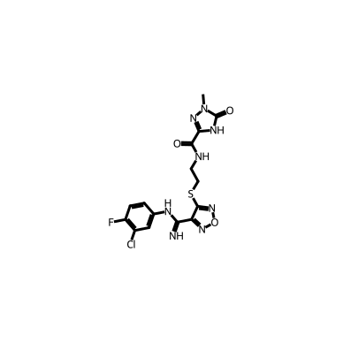 Cn1nc(C(=O)NCCSc2nonc2C(=N)Nc2ccc(F)c(Cl)c2)[nH]c1=O